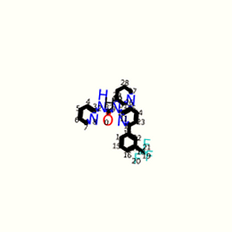 O=C(Nc1ccccn1)N1c2nc(-c3cccc(C(F)(F)F)c3)ccc2N2CCC[C@H]1C2